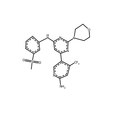 CS(=O)(=O)c1cccc(Nc2cc(-c3cnc(N)cc3C(F)(F)F)nc(N3CCOCC3)n2)c1